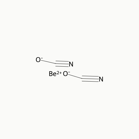 N#C[O-].N#C[O-].[Be+2]